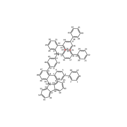 c1ccc(-c2ccc(-c3c(-c4ccc(N(c5ccc(-c6ccccc6)cc5)c5ccccc5-c5cccc(-c6ccccc6)c5)cc4)cccc3-n3c4ccccc4c4ccccc43)cc2)cc1